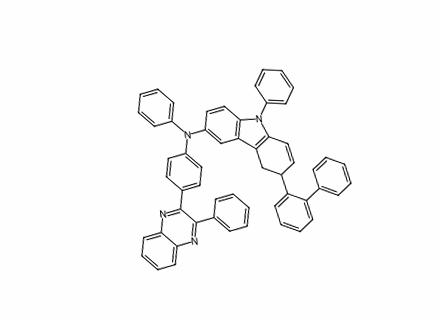 C1=CC(c2ccccc2-c2ccccc2)Cc2c1n(-c1ccccc1)c1ccc(N(c3ccccc3)c3ccc(-c4nc5ccccc5nc4-c4ccccc4)cc3)cc21